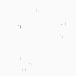 CN(C)Cc1ccc(-c2cnc3[nH]c4ccc(N(C)S(=O)(=O)C5CN(C)C=N5)cc4c3c2-c2ccccc2)cc1